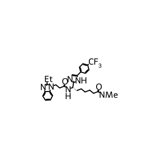 CCc1nc2ccccc2n1CCC(=O)N[C@@H](CCCCCC(=O)NC)c1ncc(-c2ccc(C(F)(F)F)cc2)[nH]1